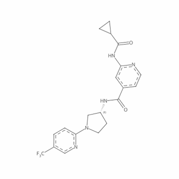 O=C(N[C@@H]1CCN(c2ccc(C(F)(F)F)cn2)C1)c1ccnc(NC(=O)C2CC2)c1